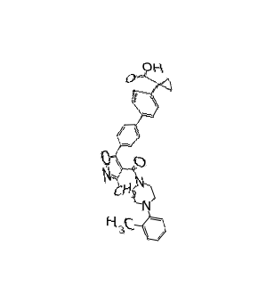 Cc1ccccc1N1CCN(C(=O)c2c(C)noc2-c2ccc(-c3ccc(C4(C(=O)O)CC4)cc3)cc2)CC1